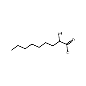 CCCCCCCC(S)C(=O)Cl